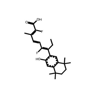 CCC(=C(F)C=CC(C)=C(F)C(=O)O)c1cc2c(cc1O)C(C)(C)CCC2(C)C